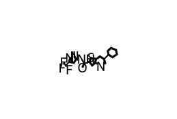 Cn1nc(C(F)(F)F)cc1NC(=O)c1cc2ncc(-c3ccccc3)cc2s1